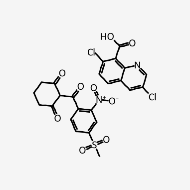 CS(=O)(=O)c1ccc(C(=O)C2C(=O)CCCC2=O)c([N+](=O)[O-])c1.O=C(O)c1c(Cl)ccc2cc(Cl)cnc12